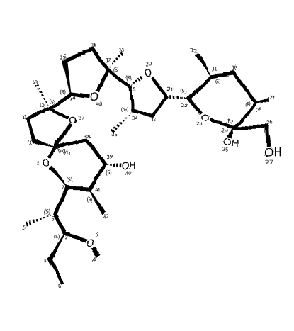 CC[C@H](OC)[C@H](C)[C@H]1O[C@@]2(CC[C@@](C)([C@H]3CC[C@@](C)([C@@H]4OC([C@H]5O[C@@](O)(CO)[C@H](C)C[C@@H]5C)C[C@@H]4C)O3)O2)C[C@H](O)[C@H]1C